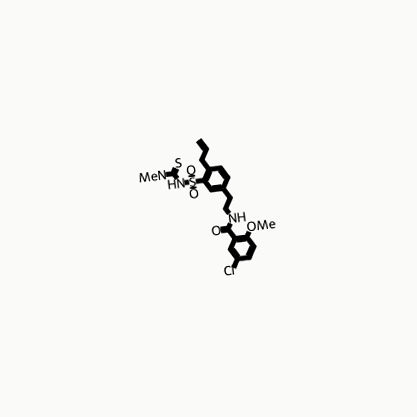 C=CCc1ccc(CCNC(=O)c2cc(Cl)ccc2OC)cc1S(=O)(=O)NC(=S)NC